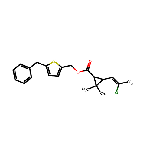 CC1(C)C(/C=C(\Cl)C(F)(F)F)C1C(=O)OCc1ccc(Cc2ccccc2)s1